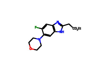 CCOC(=O)Cc1nc2cc(F)c(N3CCOCC3)cc2[nH]1